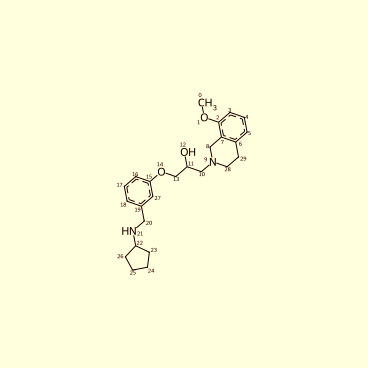 COc1cccc2c1CN(CC(O)COc1cccc(CNC3CCCC3)c1)CC2